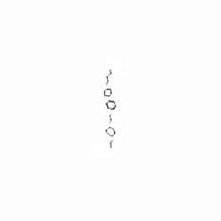 CCCCCC[C@H]1CC[C@H](c2ccc(OCCC[C@H]3CC[C@H](CCCC)CC3)cc2)CC1